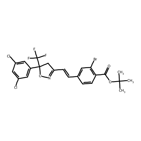 CC(C)(C)OC(=O)c1ccc(C=CC2=NOC(c3cc(Cl)cc(Cl)c3)(C(F)(F)F)C2)cc1Br